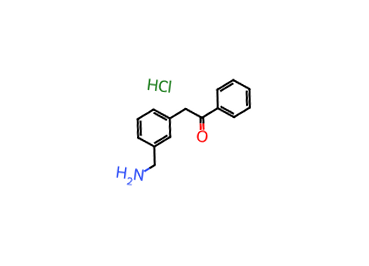 Cl.NCc1cccc(CC(=O)c2ccccc2)c1